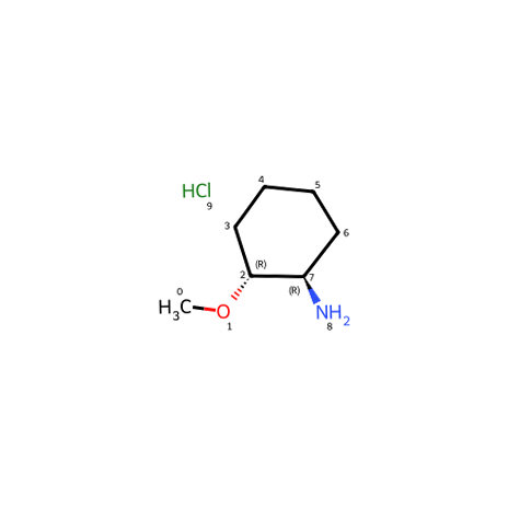 CO[C@@H]1CCCC[C@H]1N.Cl